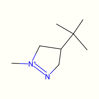 C[N+]1=NCC(C(C)(C)C)C1